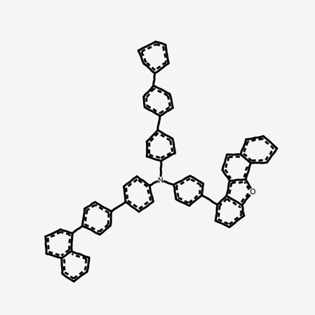 c1ccc(-c2ccc(-c3ccc(N(c4ccc(-c5ccc(-c6cccc7ccccc67)cc5)cc4)c4ccc(-c5cccc6oc7c8ccccc8ccc7c56)cc4)cc3)cc2)cc1